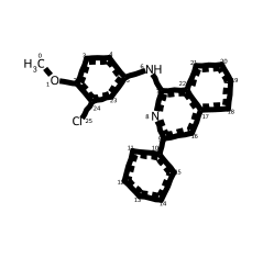 COc1ccc(Nc2nc(-c3ccccc3)cc3ccccc23)cc1Cl